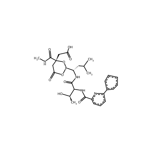 CNC(=O)[C@@]1(CC(=O)O)CC(=O)OB([C@H](CC(C)C)NC(=O)C(NC(=O)c2cccc(-c3ccccc3)n2)[C@@H](C)O)O1